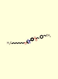 C=CCCCCCCCCCOc1cnc(-c2ccc(OC(=O)CC[C@H]3CC[C@H](CCC)CC3)cc2)nc1